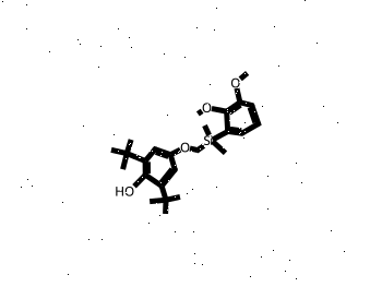 COc1cccc([Si](C)(C)COc2cc(C(C)(C)C)c(O)c(C(C)(C)C)c2)c1OC